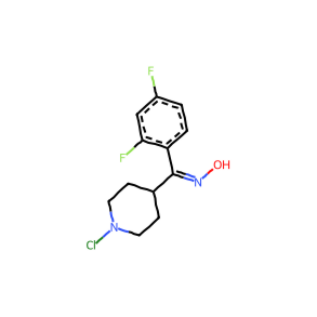 O/N=C(\c1ccc(F)cc1F)C1CCN(Cl)CC1